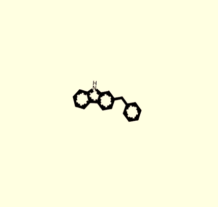 [c]1c(Cc2ccccc2)ccc2c1[nH]c1ccccc12